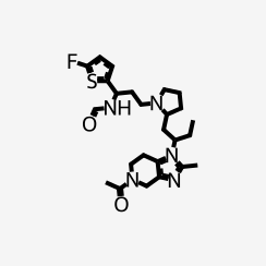 CCC(CC1CCCN1CCC(NC=O)c1ccc(F)s1)n1c(C)nc2c1CCN(C(C)=O)C2